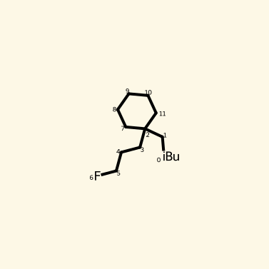 CCC(C)CC1(CCCF)CCCCC1